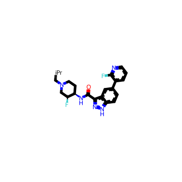 CC(C)CN1CC[C@@H](NC(=O)c2n[nH]c3ccc(-c4cccnc4F)cc23)[C@@H](F)C1